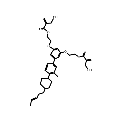 C=C(CO)C(=O)OCCOc1cc(OCCOC(=O)C(=C)CO)cc(-c2ccc(C3CCC(CC/C=C/C)CC3)c(C)c2)c1